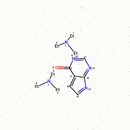 CCN(CC)CC.CCN(CC)CC.O=C1N=CN=C2N=CC=C12